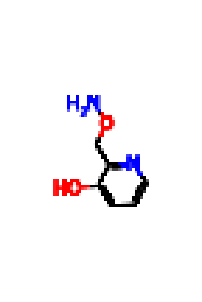 NOCc1ncccc1O